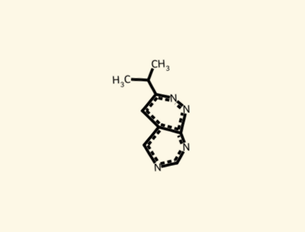 CC(C)c1cc2cncnc2nn1